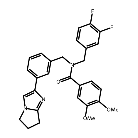 COc1ccc(C(=O)N(Cc2cccc(-c3cn4c(n3)CCC4)c2)Cc2ccc(F)c(F)c2)cc1OC